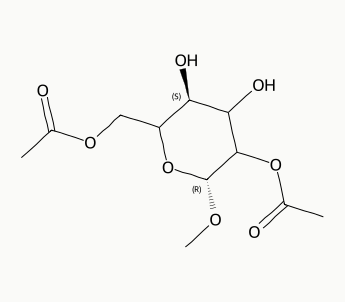 CO[C@@H]1OC(COC(C)=O)[C@@H](O)C(O)C1OC(C)=O